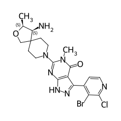 C[C@@H]1OCC2(CCN(c3nc4[nH]nc(-c5ccnc(Cl)c5Br)c4c(=O)n3C)CC2)[C@@H]1N